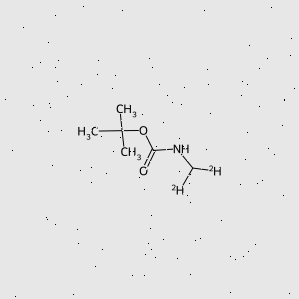 [2H]C([2H])NC(=O)OC(C)(C)C